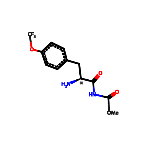 COC(=O)NC(=O)[C@@H](N)Cc1ccc(OC(F)(F)F)cc1